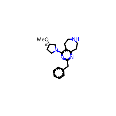 CO[C@H]1CCN(c2nc(Cc3ccccc3)nc3c2CCNCC3)C1